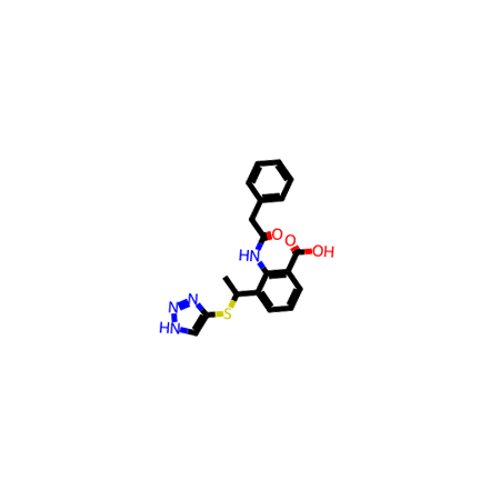 CC(Sc1c[nH]nn1)c1cccc(C(=O)O)c1NC(=O)Cc1ccccc1